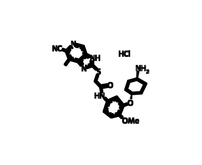 COc1ccc(NC(=O)CSc2nc3c(C)c(C#N)ncc3[nH]2)cc1O[C@H]1CC[C@H](N)CC1.Cl